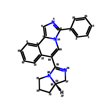 c1ccc(-c2ncc3c4ccccc4c(C4=NC[C@@H]5CCCN45)cn23)cc1